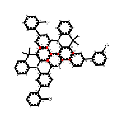 CC1(C)c2ccccc2N(c2cc(-c3ccccc3C#N)ccc2-c2nc(-c3ccc(-c4cccc(C#N)c4)cc3)nc(-c3ccc(-c4ccccc4C#N)cc3N3c4ccccc4C(C)(C)c4ccccc43)n2)c2ccccc21